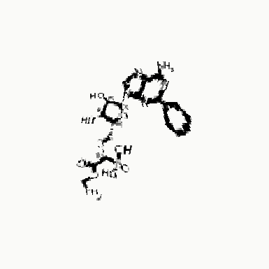 CCOC(=O)[C@H](OC[C@H]1O[C@@H](n2cnc3c(N)nc(-c4ccccc4)nc32)[C@H](O)[C@H]1O)P(=O)(O)O